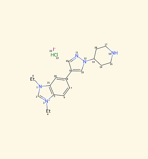 CCn1c[n+](CC)c2ccc(-c3cnn(C4CCNCC4)c3)cc21.Cl.[I-]